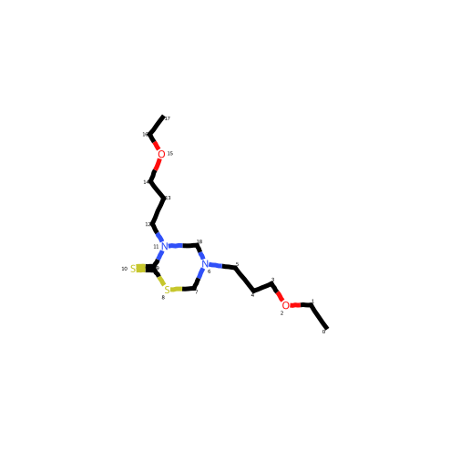 CCOCCCN1CSC(=S)N(CCCOCC)C1